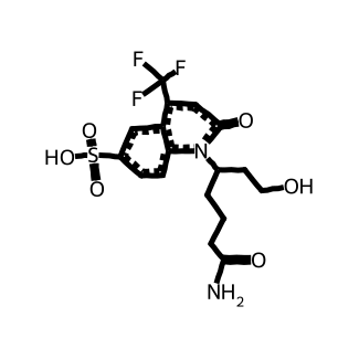 NC(=O)CCCC(CCO)n1c(=O)cc(C(F)(F)F)c2cc(S(=O)(=O)O)ccc21